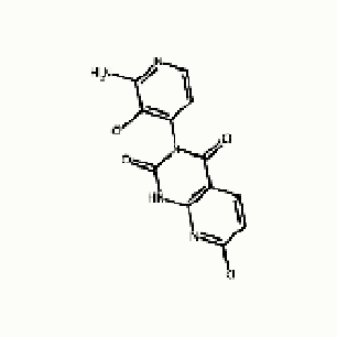 Nc1nccc(-n2c(=O)[nH]c3nc(Cl)ccc3c2=O)c1Cl